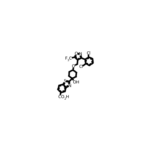 O=C(O)c1ccc2sc(C3(O)CCC(OCc4c(-c5c(Cl)cccc5Cl)noc4C(F)(F)F)CC3)nc2c1